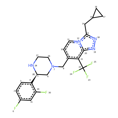 Fc1ccc([C@@H]2CN(Cc3ccn4c(CC5CC5)nnc4c3C(F)(F)F)CCN2)c(F)c1